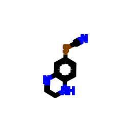 N#CSc1ccc2c(c1)N=CCN2